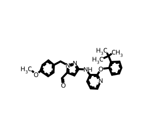 COc1ccc(Cn2nc(Nc3cccnc3Oc3ccccc3C(C)(C)C)cc2C=O)cc1